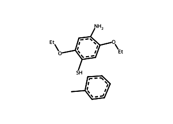 CCOc1cc(S)c(OCC)cc1N.Cc1ccccc1